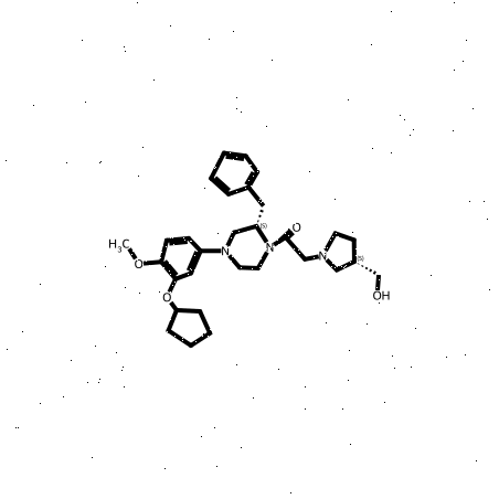 COc1ccc(N2CCN(C(=O)CN3CC[C@H](CO)C3)[C@@H](Cc3ccccc3)C2)cc1OC1CCCC1